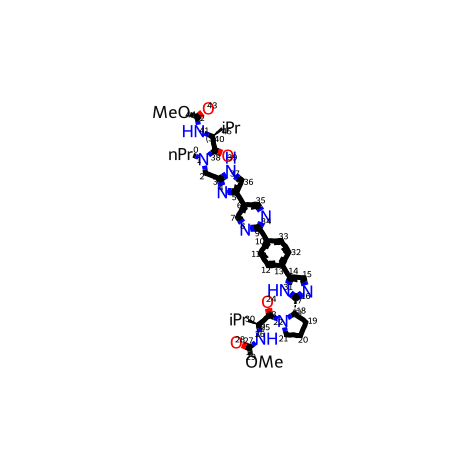 CCCN(Cc1nc(-c2cnc(-c3ccc(-c4cnc([C@@H]5CCCN5C(=O)[C@@H](NC(=O)OC)C(C)C)[nH]4)cc3)nc2)c[nH]1)C(=O)[C@@H](NC(=O)OC)C(C)C